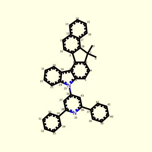 CC1(C)c2ccc3c(c2-c2ccc4ccccc4c21)c1ccccc1n3-c1cc(-c2ccccc2)nc(-c2ccccc2)c1